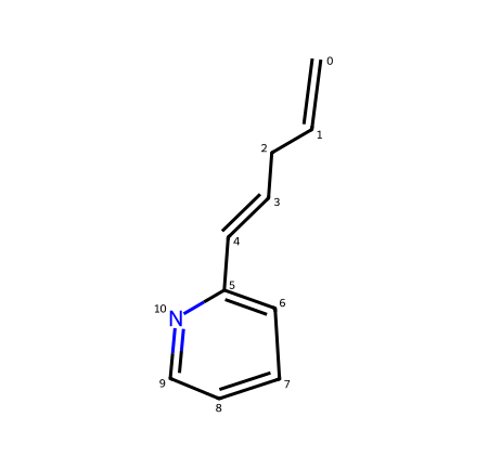 C=CCC=Cc1ccccn1